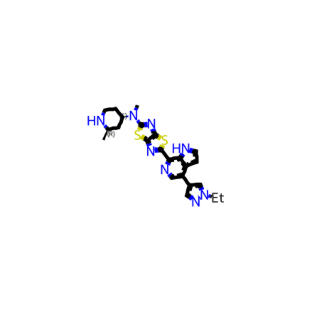 CCn1cc(-c2cnc(-c3nc4sc(N(C)[C@H]5CCN[C@H](C)C5)nc4s3)c3[nH]ccc23)cn1